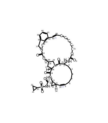 O=C1N[C@H]2CCCCC/C=C\[C@@H]3C[C@@]3(C(=O)NS(=O)(=O)C3CC3)NC(=O)[C@@H]3C[C@H](CN3C2=O)OC(=O)N2Cc3cccc(c3C2)/C=C/CCCCCO1